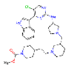 CC(C)(C)OC(=O)N1CCC(CCN2CCCC(CN3CCC(Nc4ncc(Cl)c(-c5c[nH]c6ccccc56)n4)C3)C2)CC1